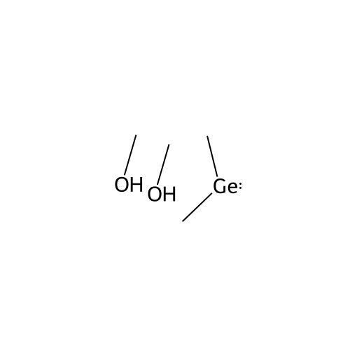 CO.CO.[CH3][Ge][CH3]